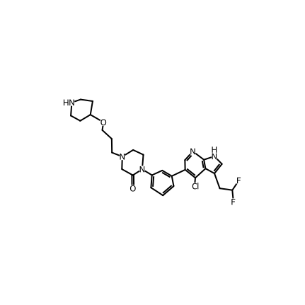 O=C1CN(CCCOC2CCNCC2)CCN1c1cccc(-c2cnc3[nH]cc(CC(F)F)c3c2Cl)c1